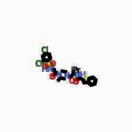 CC(C)C(NC(=O)c1cc2ccccc2s1)C(=O)N1CCN(C(=O)CNS(=O)(=O)c2ccc(Cl)cc2Cl)C(C)C1